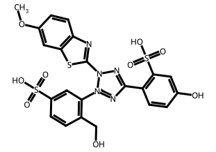 COc1ccc2nc(-n3nc(-c4ccc(O)cc4S(=O)(=O)O)n[n+]3-c3cc(S(=O)(=O)O)ccc3CO)sc2c1